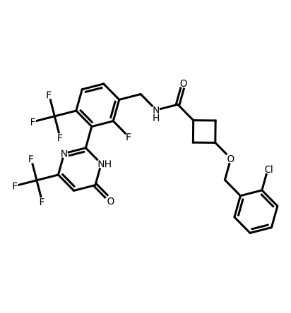 O=C(NCc1ccc(C(F)(F)F)c(-c2nc(C(F)(F)F)cc(=O)[nH]2)c1F)C1CC(OCc2ccccc2Cl)C1